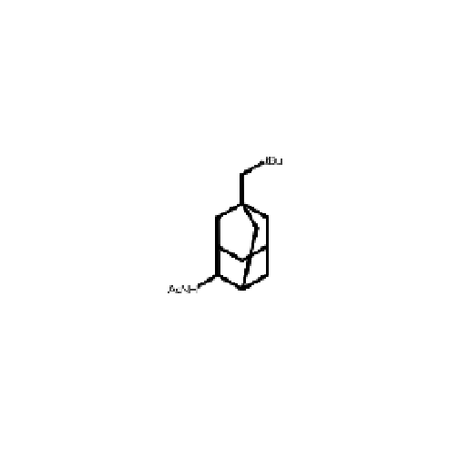 CC(=O)NC1C2CC3CC1CC(CC(C)(C)C)(C3)C2